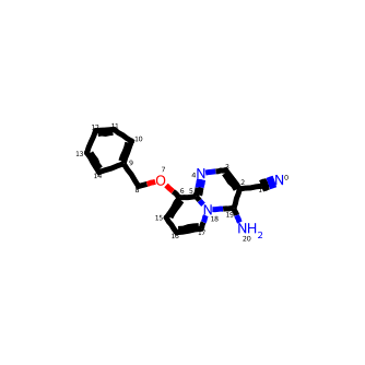 N#CC1=CN=C2C(OCc3ccccc3)=CC=CN2C1N